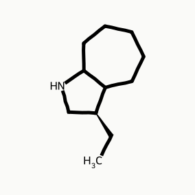 CC[C@H]1CNC2CCCCCC21